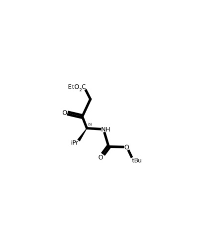 CCOC(=O)CC(=O)[C@@H](NC(=O)OC(C)(C)C)C(C)C